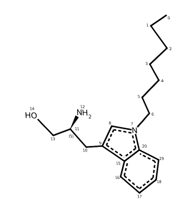 CCCCCCCn1cc(C[C@H](N)CO)c2ccccc21